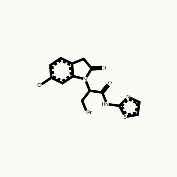 CC(C)CC(C(=O)Nc1nccs1)N1C(=O)Cc2ccc(Cl)cc21